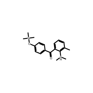 Cc1cccc(C(=O)c2ccc(O[Si](C)(C)C)cc2)c1[SiH](C)C